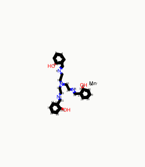 Oc1ccccc1C=NCCN(CCN=Cc1ccccc1O)CCN=Cc1ccccc1O.[Mn]